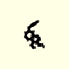 CC#CCC1CCCN(C(CC)C(N)=O)C(=O)C1